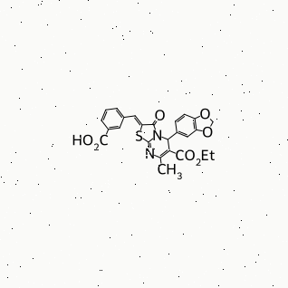 CCOC(=O)C1=C(C)N=c2s/c(=C\c3cccc(C(=O)O)c3)c(=O)n2C1c1ccc2c(c1)OCO2